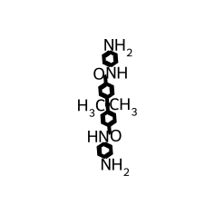 CC(C)(c1ccc(C(=O)Nc2ccc(N)cc2)cc1)c1ccc(C(=O)Nc2ccc(N)cc2)cc1